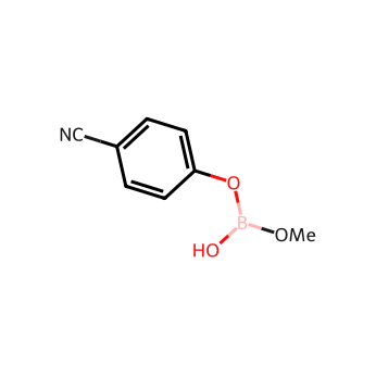 COB(O)Oc1ccc(C#N)cc1